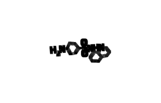 Nc1ccc(S(=O)(=O)Nc2cccc3cccnc23)cc1